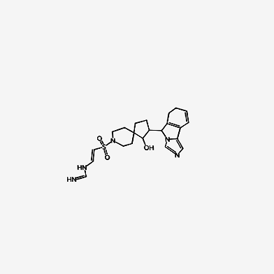 N=CN/C=C/S(=O)(=O)N1CCC2(CCC(C3C4=C(C=CCC4)c4cncn43)C2O)CC1